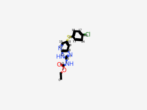 CCOC(=O)Nc1nc2cc(Sc3ccc(Cl)cc3)cnc2[nH]1